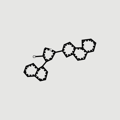 Clc1ccc(-c2ccc3c(ccc4ccccc43)c2)cc1-c1cccc2ccccc12